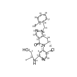 CC(CO)Nc1cc(N2C(=O)c3cnn(Cc4ccccc4F)c3C[C@@H]2C)c(Cl)cn1